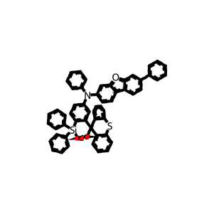 c1ccc(-c2ccc3c(c2)oc2cc(N(c4ccccc4)c4ccc5c(c4)C4(c6ccccc6Sc6ccccc64)c4ccccc4[Si]5(c4ccccc4)c4ccccc4)ccc23)cc1